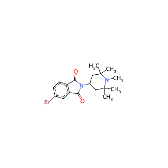 CN1C(C)(C)CC(N2C(=O)c3ccc(Br)cc3C2=O)CC1(C)C